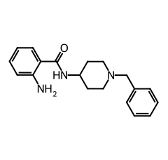 Nc1ccccc1C(=O)NC1CCN(Cc2ccccc2)CC1